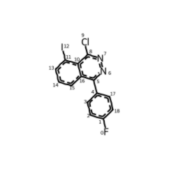 Fc1ccc(-c2nnc(Cl)c3c(I)cccc23)cc1